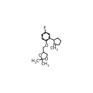 CN1CCCC1c1cc(F)ccc1OCC1COC(C)(C)O1